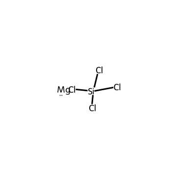 Cl[Si](Cl)(Cl)Cl.[Mg]